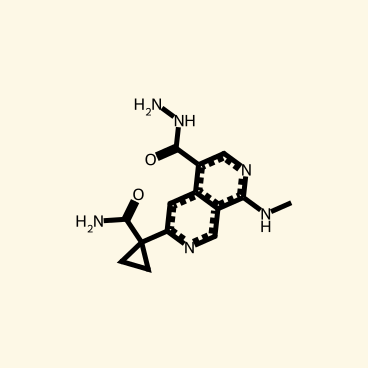 CNc1ncc(C(=O)NN)c2cc(C3(C(N)=O)CC3)ncc12